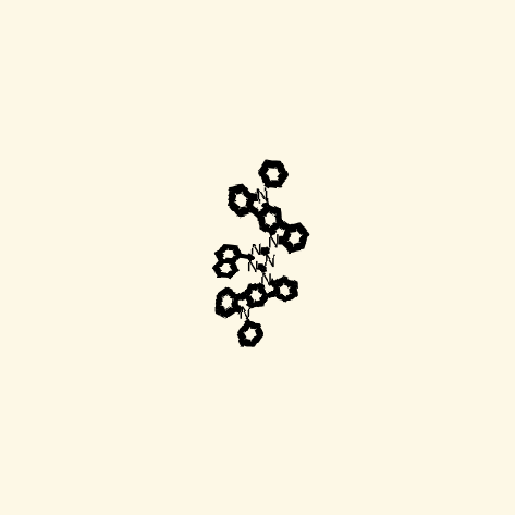 c1ccc(-n2c3ccccc3c3cc4c(cc32)c2ccccc2n4-c2nc(-c3cccc4ccccc34)nc(-n3c4ccccc4c4cc5c(cc43)c3ccccc3n5-c3ccccc3)n2)cc1